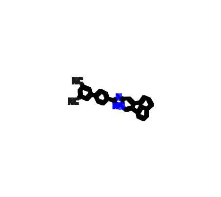 N#Cc1cc(C#N)cc(-c2ccc(-c3nc4cc5c(cn4n3)c3cccc4cccc5c43)cc2)c1